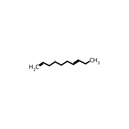 C=CC[CH]CCC=CCC